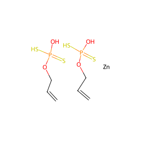 C=CCOP(O)(=S)S.C=CCOP(O)(=S)S.[Zn]